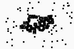 COCCNc1cc(NC(=O)N2CCCc3cc(CN4C(=C=O)OCC45CC5)c(C=O)nc32)ncc1C#N